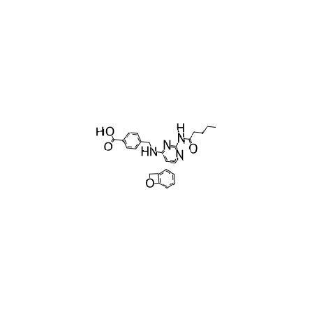 CCCCC(=O)Nc1nccc(NCc2ccc(C(=O)O)cc2)n1.c1ccc2c(c1)CO2